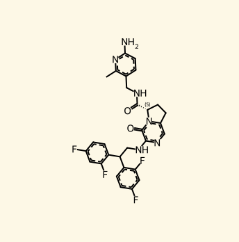 Cc1nc(N)ccc1CNC(=O)[C@@H]1CCc2cnc(NCC(c3ccc(F)cc3F)c3ccc(F)cc3F)c(=O)n21